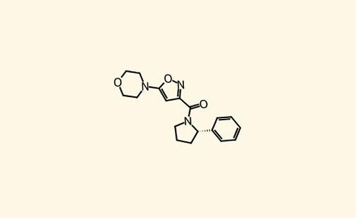 O=C(c1cc(N2CCOCC2)on1)N1CCC[C@H]1c1ccccc1